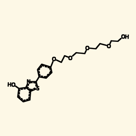 OCCOCCOCCOCCOc1ccc(-c2nc3c(O)cccc3s2)cc1